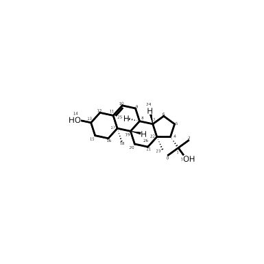 CC(C)(O)[C@H]1CC[C@H]2[C@@H]3CC=C4CC(O)CC[C@]4(C)[C@H]3CC[C@]12C